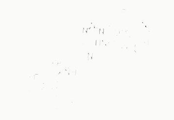 C[C@@H](OC(=O)Nc1c(-c2ccc(NC(=O)[C@H]3C(C4CC4)C3(F)F)cn2)nnn1C)c1cc(F)cnc1F